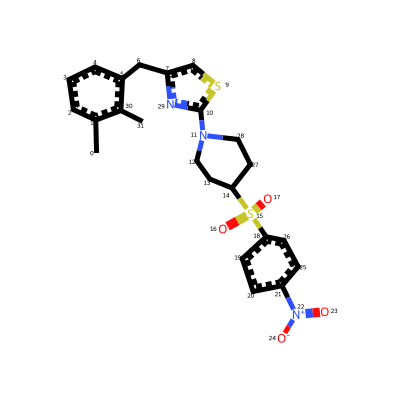 Cc1cccc(Cc2csc(N3CCC(S(=O)(=O)c4ccc([N+](=O)[O-])cc4)CC3)n2)c1C